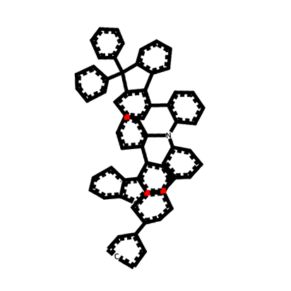 c1ccc(-c2ccc(-c3cccc(N(c4ccccc4-c4cccc5c4-c4ccccc4C5(c4ccccc4)c4ccccc4)c4ccccc4-c4cccc5oc6ccccc6c45)c3)cc2)cc1